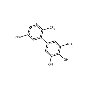 CC[CH]Cc1cnc(C(F)(F)F)c(-c2cc(O)c(O)c([N+](=O)[O-])c2)c1